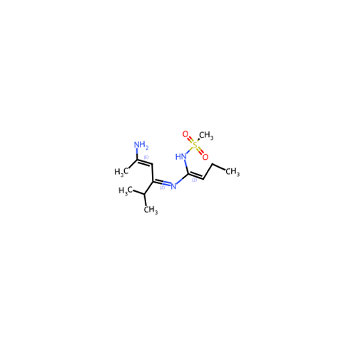 CC/C=C(/N=C(\C=C(/C)N)C(C)C)NS(C)(=O)=O